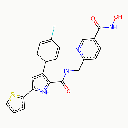 O=C(NO)c1ccc(CNC(=O)c2[nH]c(-c3cccs3)cc2C2C=CC(F)=CC2)nc1